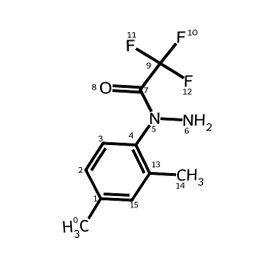 Cc1ccc(N(N)C(=O)C(F)(F)F)c(C)c1